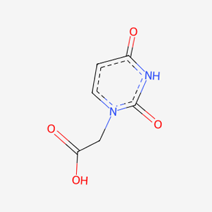 O=C(O)Cn1ccc(=O)[nH]c1=O